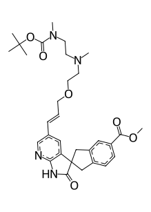 COC(=O)c1ccc2c(c1)CC1(C2)C(=O)Nc2ncc(C=CCOCCN(C)CCN(C)C(=O)OC(C)(C)C)cc21